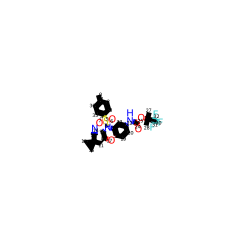 Cc1ccc(S(=O)(=O)N2C[C@H](CC3(C#N)CC3)Oc3ccc(NC(=O)OC(C)(C)C(F)(F)F)cc32)cc1